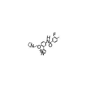 Cc1ccc(C(=O)Nc2ccc(OCCN3CCCC3)c(-c3ccnn3C)c2)cc1F